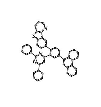 c1ccc(-c2cc(-c3cc(-c4cc5ccccc5c5ccccc45)ccc3-c3ccc4sc5cccnc5c4c3)nc(-c3ccccc3)n2)cc1